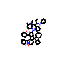 C=Cc1c(/C=C\C)c2c(N(c3ccc(C)cc3)c3cc4c(c5c3oc3ccccc35)C3=C(C=CC5NC3c3ccccc3O5)C4(C3=CC=CCCC3)c3ccccc3)cccc2n1-c1ccccc1